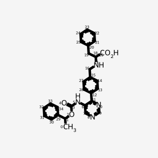 CC(OC(=O)Nc1cncnc1-c1ccc(CNC(Cc2ccccc2)C(=O)O)cc1)c1ccccc1